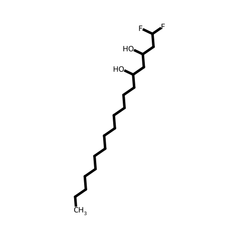 CCCCCCCCCCCCCC(O)CC(O)CC(F)F